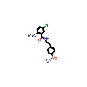 COc1ccc(Cl)cc1C(=O)NCCc1ccc([S+](N)[O-])cc1